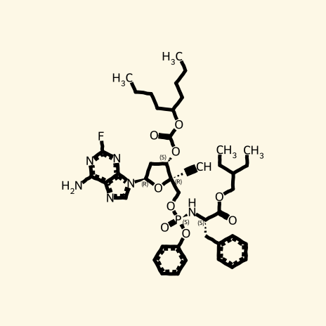 C#C[C@]1(CO[P@@](=O)(N[C@@H](Cc2ccccc2)C(=O)OCC(CC)CC)Oc2ccccc2)O[C@@H](n2cnc3c(N)nc(F)nc32)C[C@@H]1OC(=O)OC(CCCC)CCCC